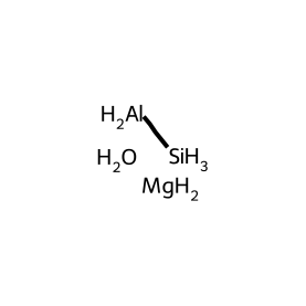 O.[AlH2][SiH3].[MgH2]